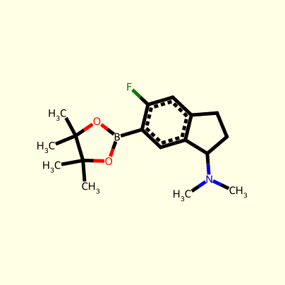 CN(C)C1CCc2cc(F)c(B3OC(C)(C)C(C)(C)O3)cc21